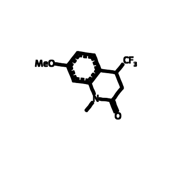 COc1ccc2c(c1)N(C)C(=O)CC2C(F)(F)F